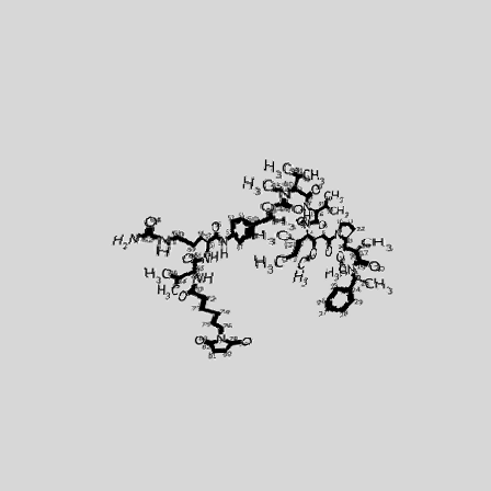 CC[C@H](C)[C@@H]([C@@H](CC(=O)N1CCC[C@H]1[C@H](OC)[C@@H](C)C(=O)N[C@H](C)c1ccccc1)OC)N(C)C(=O)[C@@H](NC(=O)[C@H](C(C)C)N(C)C(=O)OCc1ccc(NC(=O)[C@H](CCCNC(N)=O)NC(=O)[C@@H](NC(=O)CCCCCN2C(=O)C=CC2=O)C(C)C)cc1)C(C)C